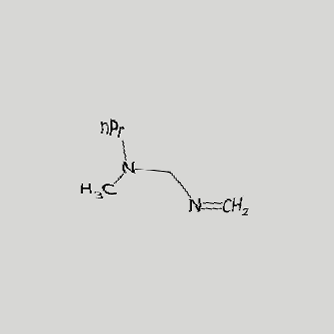 C=NCN(C)CCC